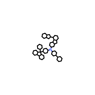 C1CCC(C2CCC(N(C3CCC(C4(C5CCCCC5)C5CCCCC5C5CCCCC54)CC3)C3CCC4C(CC5CCCC(C6CC7CCCCC7C6)C54)C3)CC2)CC1